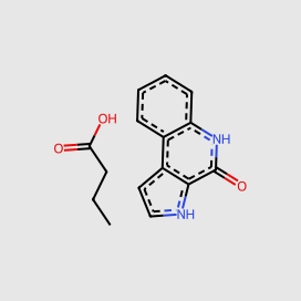 CCCC(=O)O.O=c1[nH]c2ccccc2c2cc[nH]c12